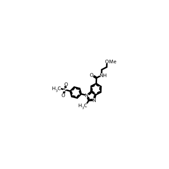 COCCNC(=O)c1ccc2nc(C)n(-c3ccc(S(C)(=O)=O)cc3)c2c1